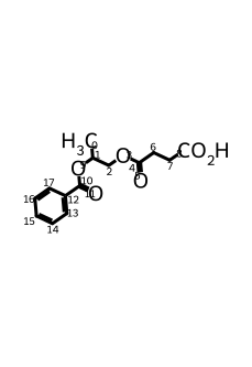 CC(COC(=O)CCC(=O)O)OC(=O)c1ccccc1